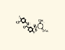 CC(=O)O[C@@H]1CC[C@H](C)CN(S(=O)(=O)c2cc(C(=O)Nc3ccc(F)c(Cl)c3)ccc2F)C1